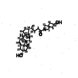 CC(CCC(=O)N1CC2(CC(O)C2)C1)[C@H]1CC[C@H]2[C@@H]3CC=C4C[C@@H](O)CC[C@]4(C)[C@H]3CC[C@]12C